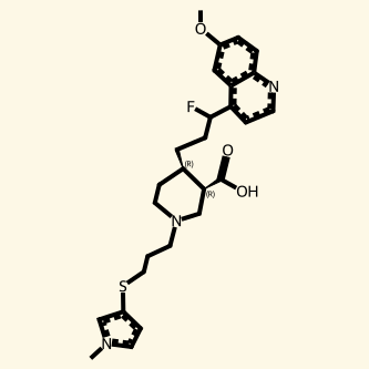 COc1ccc2nccc(C(F)CC[C@@H]3CCN(CCCSc4ccn(C)c4)C[C@@H]3C(=O)O)c2c1